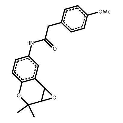 COc1ccc(CC(=O)Nc2ccc3c(c2)C2OC2C(C)(C)O3)cc1